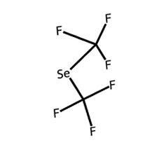 FC(F)(F)[Se]C(F)(F)F